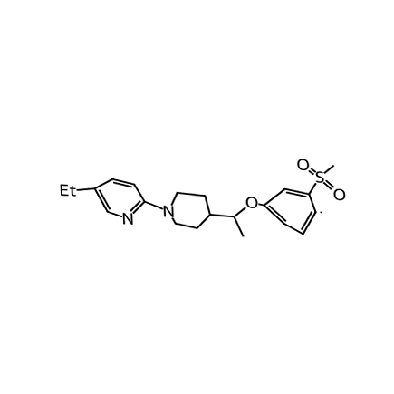 CCc1ccc(N2CCC(C(C)Oc3cc[c]c(S(C)(=O)=O)c3)CC2)nc1